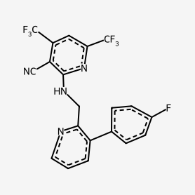 N#Cc1c(C(F)(F)F)cc(C(F)(F)F)nc1NCc1ncccc1-c1ccc(F)cc1